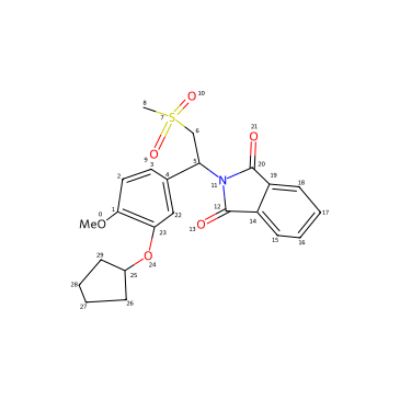 COc1ccc(C(CS(C)(=O)=O)N2C(=O)c3ccccc3C2=O)cc1OC1CCCC1